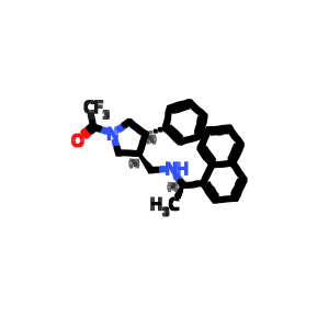 C[C@@H](NC[C@H]1CN(C(=O)C(F)(F)F)C[C@@H]1c1ccccc1)c1cccc2ccccc12